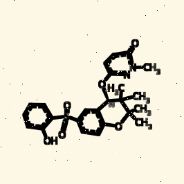 Cn1nc(O[C@@H]2c3cc(S(=O)(=O)c4ccccc4O)ccc3OC(C)(C)C2(C)C)ccc1=O